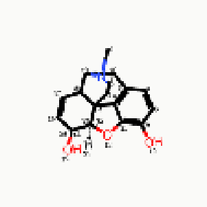 CN1CCC23c4c5ccc(O)c4O[C@H]2[C@@H](O)C=CC3C1C5